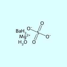 O.O=S(=O)([O-])[O-].[BaH2].[Mg+2]